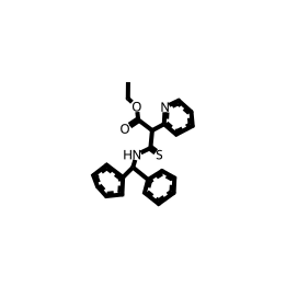 CCOC(=O)C(C(=S)NC(c1ccccc1)c1ccccc1)c1ccccn1